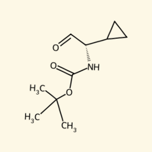 CC(C)(C)OC(=O)N[C@H](C=O)C1CC1